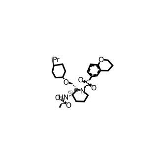 CC(C)[C@H]1CC[C@@H](OC[C@H]2[C@@H](NS(C)(=O)=O)CCCN2S(=O)(=O)c2ccc3c(c2)CCCO3)CC1